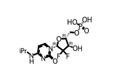 CC(C)Nc1ccn([C@@H]2O[C@H](COP(=O)(O)O)[C@@H](O)C2(F)F)c(=O)n1